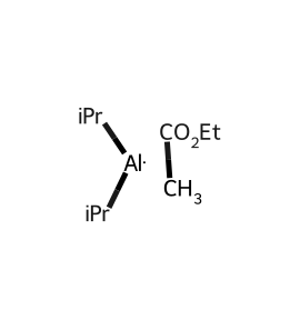 CCOC(C)=O.C[CH](C)[Al][CH](C)C